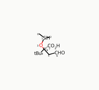 C[SiH](C)O[C@](CC=O)(C(=O)O)C(C)(C)C